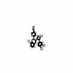 CN(c1ccc(C#N)cn1)C(Cc1ccccc1)[C@H]1CNC[C@@H]1c1ccc(Cl)c(Cl)c1